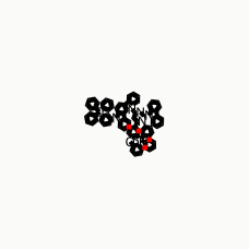 c1ccc([Si](c2ccccc2)(c2ccccc2)c2cccc(-n3c4ccccc4c4c3ccc3c5ccccc5n(-c5cc(-c6ccc7c(c6)[Si](c6ccccc6)(c6ccccc6)c6ccccc6O7)nc(-n6c7ccccc7c7ccccc76)n5)c34)c2)cc1